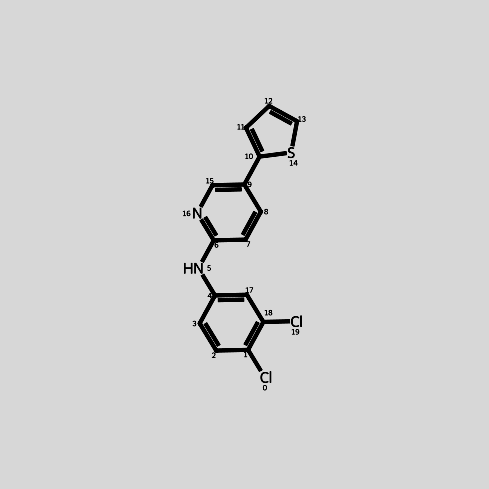 Clc1ccc(Nc2ccc(-c3cccs3)cn2)cc1Cl